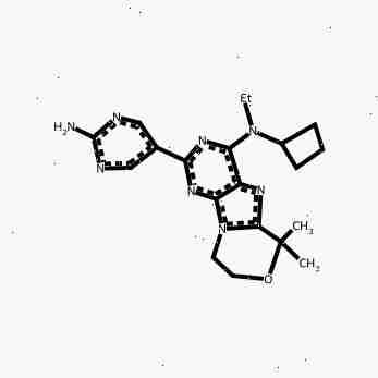 CCN(c1nc(-c2cnc(N)nc2)nc2c1nc1n2CCOC1(C)C)C1CCC1